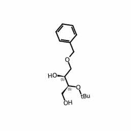 CC(C)(C)O[C@@H](CO)[C@@H](O)COCc1ccccc1